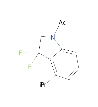 CC(=O)N1CC(F)(F)c2c(C(C)C)cccc21